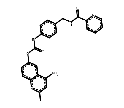 Cc1cc(N)c2cc(OC(=O)Nc3ccc(CNC(=O)c4ccccn4)cc3)ccc2n1